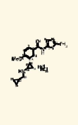 COc1ccc(C(=O)Nc2nnc(C)s2)cc1[C@@H]1C[C@H]1NCC1CC1.Cl.Cl